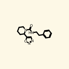 O=C(NCCc1ccccc1)N1CCCCC1c1cnno1